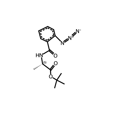 C[C@H](NC(=O)c1ccccc1N=[N+]=[N-])C(=O)OC(C)(C)C